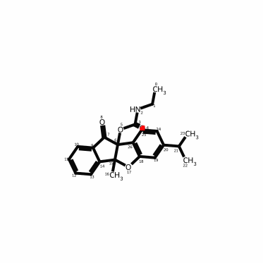 CCNC(=O)OC12C(=O)c3ccccc3C1(C)Oc1cc(C(C)C)ccc12